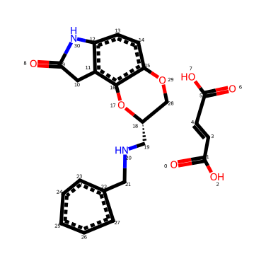 O=C(O)C=CC(=O)O.O=C1Cc2c(ccc3c2O[C@@H](CNCc2ccccc2)CO3)N1